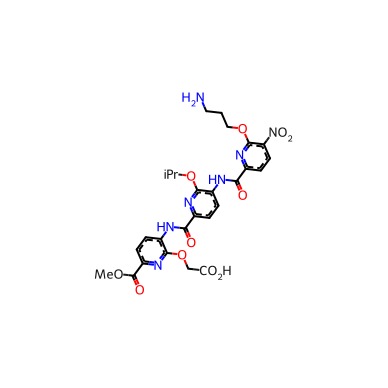 COC(=O)c1ccc(NC(=O)c2ccc(NC(=O)c3ccc([N+](=O)[O-])c(OCCCN)n3)c(OC(C)C)n2)c(OCC(=O)O)n1